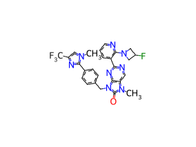 Cn1cc(C(F)(F)F)nc1-c1ccc(Cn2c(=O)n(C)c3cnc(-c4cccnc4N4CC(F)C4)nc32)cc1